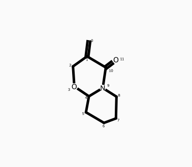 C=C1COC2CCCCN2C1=O